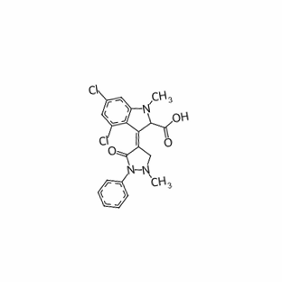 CN1c2cc(Cl)cc(Cl)c2C(=C2CN(C)N(c3ccccc3)C2=O)C1C(=O)O